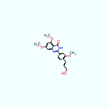 COc1cc(OC)c2c(=O)[nH]c(-c3ccc(CCCO)c(OC)c3)nc2c1